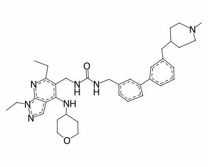 CCc1nc2c(cnn2CC)c(NC2CCOCC2)c1CNC(=O)NCc1cccc(-c2cccc(CC3CCN(C)CC3)c2)c1